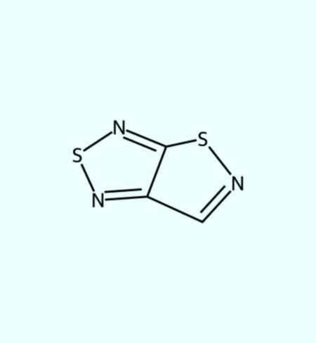 c1nsc2nsnc12